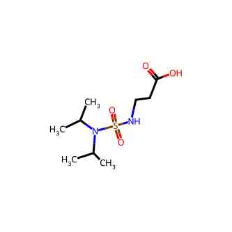 CC(C)N(C(C)C)S(=O)(=O)NCCC(=O)O